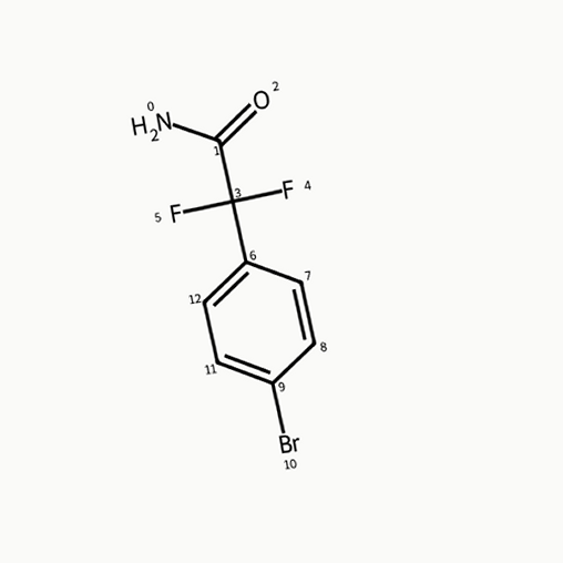 NC(=O)C(F)(F)c1ccc(Br)cc1